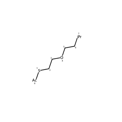 CC(=O)SCCOCCC(C)C